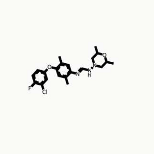 Cc1cc(Oc2ccc(F)c(Cl)c2)c(C)cc1N=CNN1CC(C)OC(C)C1